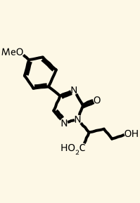 COc1ccc(-c2cnn(C(CCO)C(=O)O)c(=O)n2)cc1